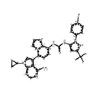 CC(C)(C)c1cc(NC(=O)Nc2ccc(-c3cn(C4CC4)c4ncnc(N)c34)n3ccnc23)n(-c2ccc(Cl)cc2)n1